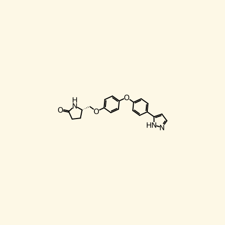 O=C1CC[C@@H](COc2ccc(Oc3ccc(-c4ccn[nH]4)cc3)cc2)N1